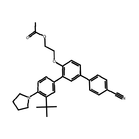 CC(=O)OCCOc1ccc(-c2ccc(C#N)cc2)cc1-c1ccc(N2CCCC2)c(C(C)(C)C)c1